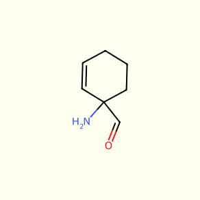 NC1(C=O)C=CCCC1